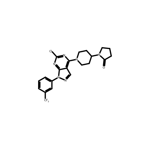 O=C1CCCN1C1CCN(c2nc(Cl)nc3c2cnn3-c2cccc(C(F)(F)F)c2)CC1